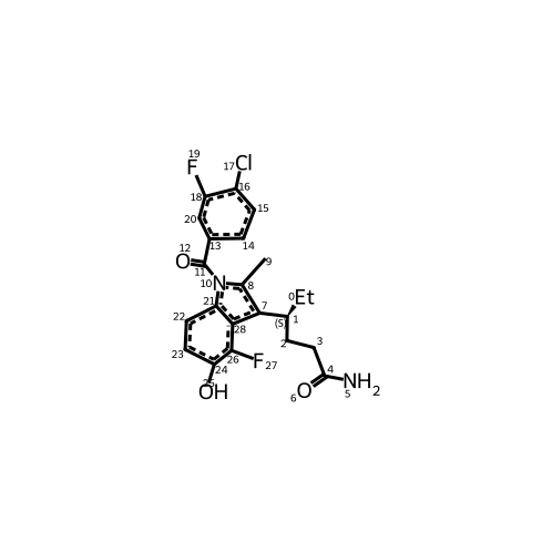 CC[C@@H](CCC(N)=O)c1c(C)n(C(=O)c2ccc(Cl)c(F)c2)c2ccc(O)c(F)c12